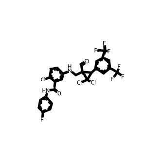 O=CC1(CNc2ccc(Cl)c(C(=O)Nc3ccc(F)cc3)c2)C(c2cc(C(F)(F)F)cc(C(F)(F)F)c2)C1(Cl)Cl